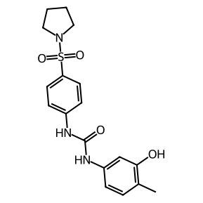 Cc1ccc(NC(=O)Nc2ccc(S(=O)(=O)N3CCCC3)cc2)cc1O